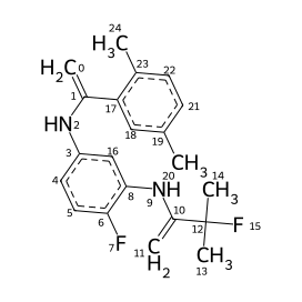 C=C(Nc1ccc(F)c(NC(=C)C(C)(C)F)c1)c1cc(C)ccc1C